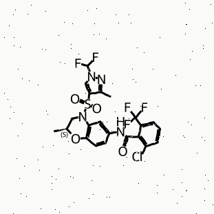 Cc1nn(C(F)F)cc1S(=O)(=O)N1C[C@H](C)Oc2ccc(NC(=O)c3c(Cl)cccc3C(F)(F)F)cc21